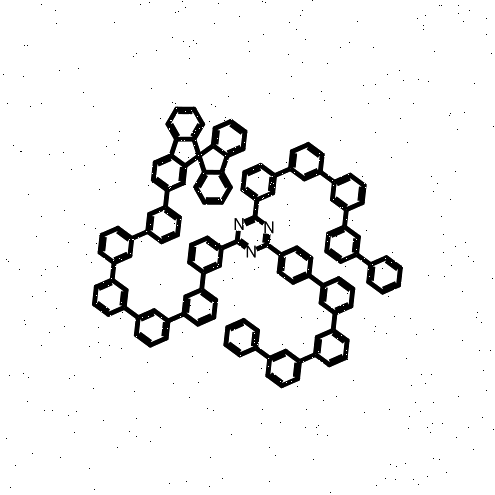 c1ccc(-c2cccc(-c3cccc(-c4cccc(-c5ccc(-c6nc(-c7cccc(-c8cccc(-c9cccc(-c%10cccc(-c%11ccccc%11)c%10)c9)c8)c7)nc(-c7cccc(-c8cccc(-c9cccc(-c%10cccc(-c%11cccc(-c%12cccc(-c%13ccc%14c(c%13)C%13(c%15ccccc%15-c%15ccccc%15%13)c%13ccccc%13-%14)c%12)c%11)c%10)c9)c8)c7)n6)cc5)c4)c3)c2)cc1